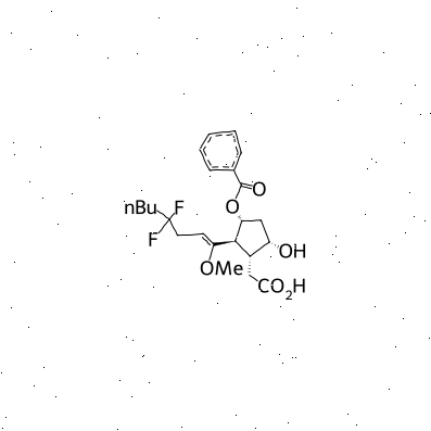 CCCCC(F)(F)CC=C(OC)[C@@H]1[C@@H](CC(=O)O)[C@@H](O)C[C@H]1OC(=O)c1ccccc1